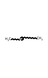 CCCCCCCCCCCc1cc[n+](CCCCCCCC)cc1